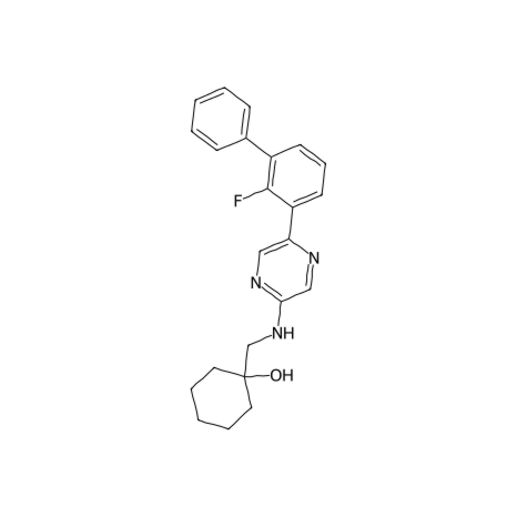 OC1(CNc2cnc(-c3cccc(-c4ccccc4)c3F)cn2)CCCCC1